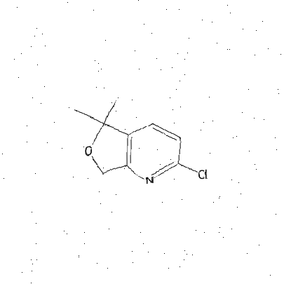 CC1(C)OCc2nc(Cl)ccc21